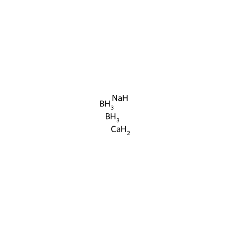 B.B.[CaH2].[NaH]